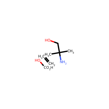 C=C.CC(C)(N)CO.O=C(O)O